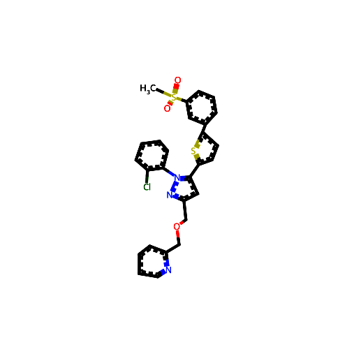 CS(=O)(=O)c1cccc(-c2ccc(-c3cc(COCc4ccccn4)nn3-c3ccccc3Cl)s2)c1